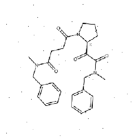 CN(Cc1ccccc1)C(=O)CCC(=O)N1CCC[C@H]1C(=O)C(=O)N(C)Cc1ccccc1